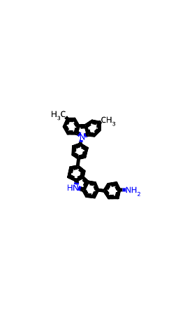 Cc1ccc2c(c1)c1cc(C)ccc1n2-c1ccc(-c2ccc3[nH]c4ccc(-c5ccc(N)cc5)cc4c3c2)cc1